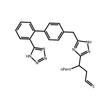 CCCCCC(CC=S)c1n[nH]c(Cc2ccc(-c3ccccc3-c3nnn[nH]3)cc2)n1